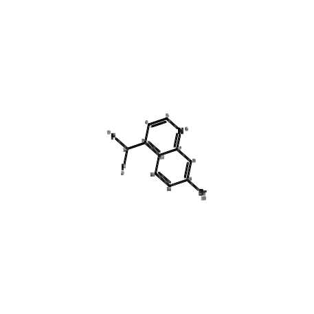 FC(F)c1ccnc2cc(Br)ccc12